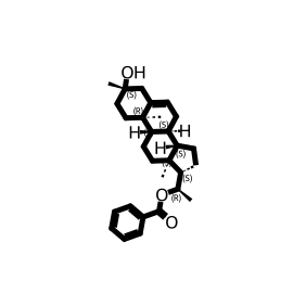 C[C@@H](OC(=O)c1ccccc1)[C@H]1CC[C@H]2[C@@H]3CC=C4C[C@@](C)(O)CC[C@]4(C)[C@H]3CC[C@]12C